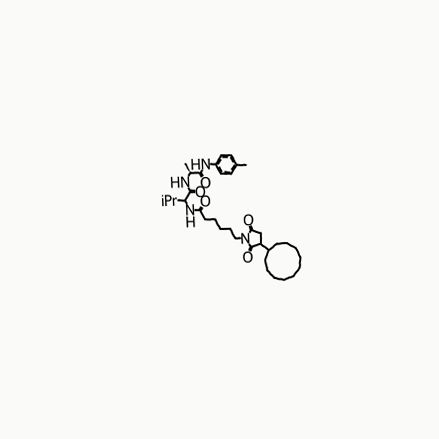 Cc1ccc(NC(=O)[C@H](C)NC(=O)C(NC(=O)CCCCCN2C(=O)CC(C3CCCCCCCCCC3)C2=O)C(C)C)cc1